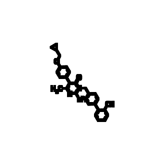 CCCc1nc(C)c(-c2ccc(OCC3CC3)cc2)c(=O)n1Cc1ccc(-c2ccccc2C#N)cc1